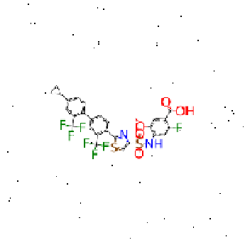 COc1cc(C(=O)O)c(F)cc1NS(=O)(=O)c1csc(-c2ccc(-c3ccc(C4CC4)cc3C(F)(F)F)cc2C(F)(F)F)n1